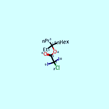 CCCCCCC(CC)(CCC)OC(=O)C(Cl)(I)I